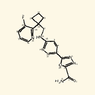 NC(=O)c1nnc(-c2ccc(NCC3(c4ncccc4F)CCC3)nn2)o1